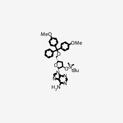 COc1ccc(C(OC[C@@H]2C[C@@H](O[Si](C)(C)C(C)(C)C)[C@H](n3cnc4c(N)ncnc43)O2)(c2ccccc2)c2ccc(OC)cc2)cc1